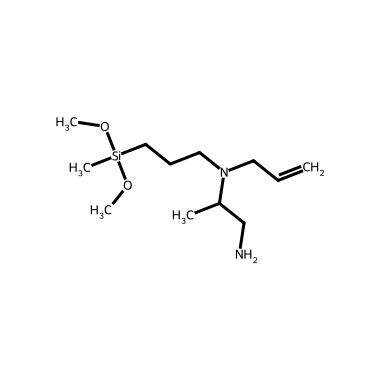 C=CCN(CCC[Si](C)(OC)OC)C(C)CN